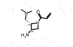 C=CC(=O)N1C[C@@H](N)[C@@H]1CN(C)C